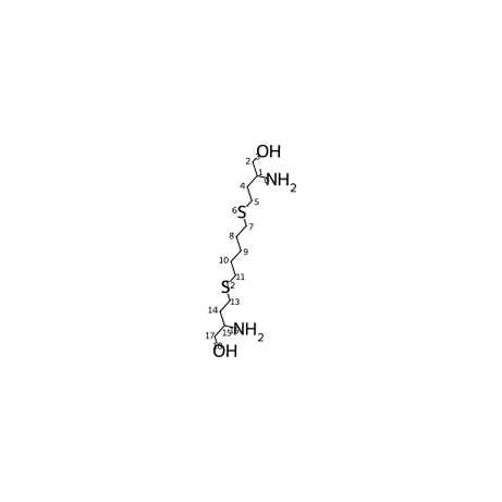 NC(CO)CCSCCCCCSCCC(N)CO